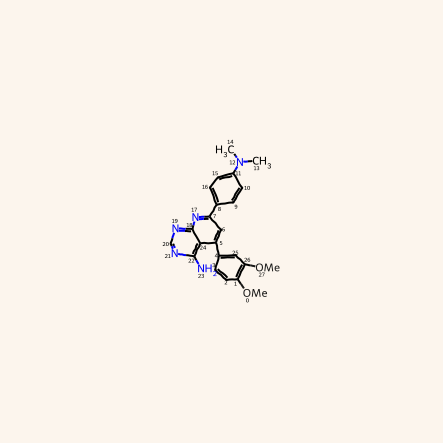 COc1ccc(-c2cc(-c3ccc(N(C)C)cc3)nc3ncnc(N)c23)cc1OC